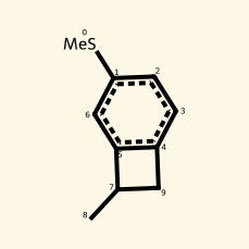 CSc1ccc2c(c1)C(C)C2